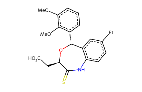 CCc1ccc2c(c1)[C@@H](c1cccc(OC)c1OC)O[C@H](CC(=O)O)C(=S)N2